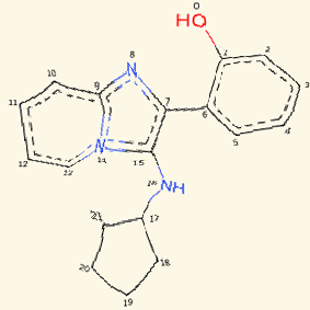 Oc1ccccc1-c1nc2ccccn2c1NC1CCCC1